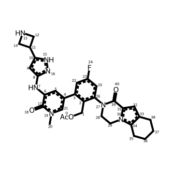 CC(=O)OCc1c(-c2cc(Nc3cc(C4CNC4)[nH]n3)c(=O)n(C)c2)cc(F)cc1N1CCn2c(cc3c2CCCC3)C1=O